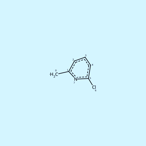 [CH2]c1cccc(Cl)n1